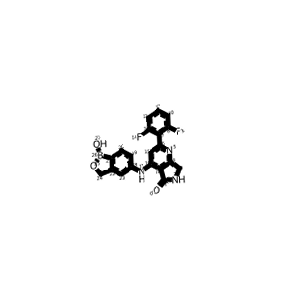 O=C1NCc2nc(-c3c(F)cccc3F)cc(Nc3ccc4c(c3)COB4O)c21